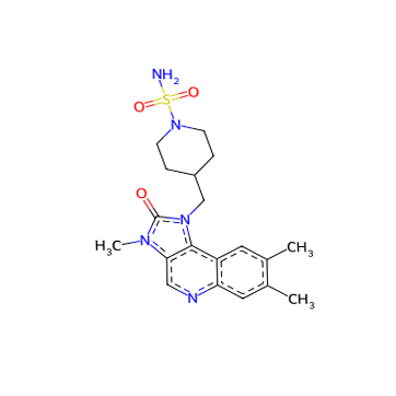 Cc1cc2ncc3c(c2cc1C)n(CC1CCN(S(N)(=O)=O)CC1)c(=O)n3C